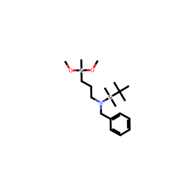 CO[Si](C)(CCCN(Cc1ccccc1)[Si](C)(C)C(C)(C)C)OC